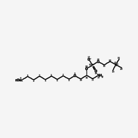 CCCCCCCCCCCCCCCCCCOCC(CN)OP(=O)([O-])OCC[N+](C)(C)C